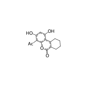 CC(=O)c1c(O)cc(O)c2c3c(c(=O)oc12)CCCC3